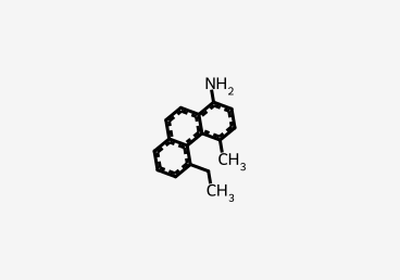 CCc1cccc2ccc3c(N)ccc(C)c3c12